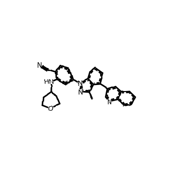 Cc1nn(-c2ccc(C#N)c(NC3CCOCC3)c2)c2cccc(-c3cnc4ccccc4c3)c12